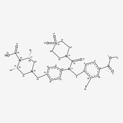 COC(=O)c1ccc(CN(C(=O)N2CCS(=O)(=O)CC2)c2ccc(CN3C[C@@H](C)N(C(=O)O)[C@@H](C)C3)cc2)c(F)c1